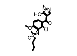 CCCCS(C)(=O)=Nc1c(OC)ccc(C(=O)c2cnn(C)c2O)c1Cl